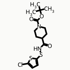 CC(C)(C)OC(=O)N1CCC(C(=O)NSc2ccc(Cl)s2)CC1